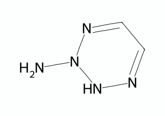 NN1N=CC=NN1